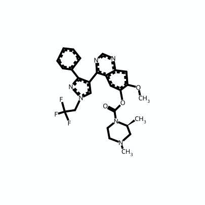 COc1cc2ncnc(-c3cn(CC(F)(F)F)nc3-c3ccccc3)c2cc1OC(=O)N1CCN(C)C[C@@H]1C